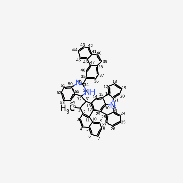 CC1c2ccc3ccccc3c2-c2c(cc3c4ccccc4n4c5ccccc5c2c34)C1C1NC(c2ccc3ccc4ccccc4c3c2)=Nc2ccccc21